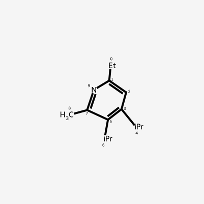 CCc1cc(C(C)C)c(C(C)C)c(C)n1